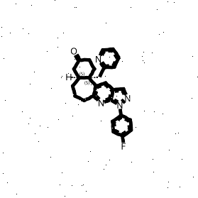 O=C1CC[C@@]2(Cc3ccccn3)c3cc4cnn(-c5ccc(F)cc5)c4nc3CCC[C@H]2C1